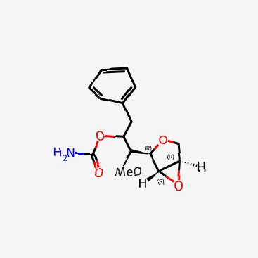 COC(C(Cc1ccccc1)OC(N)=O)[C@H]1OC[C@H]2O[C@H]12